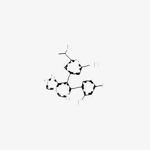 Cc1cc(-c2c(-c3ccc(F)cc3F)ncn3cnnc23)cc(C(F)F)n1